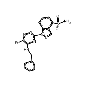 CCc1nnc(-n2ncc3c(S(N)(=O)=O)cccc32)nc1NCc1ccccc1